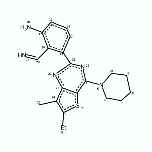 CCc1sc2c(N3CCCCC3)nc(-c3cccc(N)c3C=N)nc2c1C